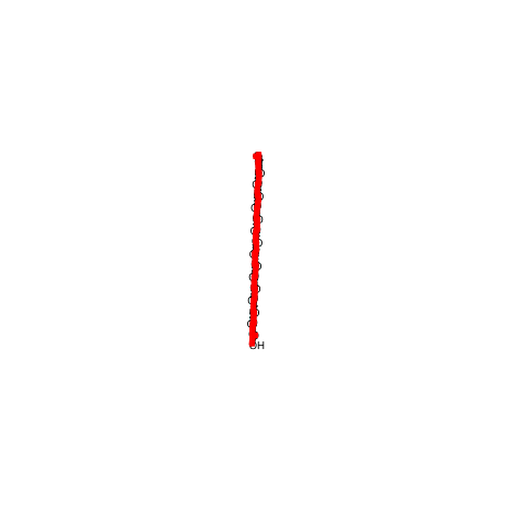 O=C(CCCCCO)OCCCCCC(=O)OCCCCCC(=O)OCCCCCC(=O)OCCCCCC(=O)OCCCCCC(=O)OCCCCCC(=O)OCCCCCC(=O)OCCCCCC(=O)OCCCCCC(=O)OCCCCCC(=O)OCCCCCC(=O)OCCCCCC(=O)OCCCCCC(=O)OCCCCCC(=O)OCCOCCOCc1ccccc1